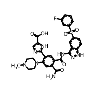 CN1CCN(c2cc(C(N)=O)c(C(=O)Nc3n[nH]c4ccc(S(=O)(=O)c5cccc(F)c5)cc34)cc2-c2ncc(C(=O)O)[nH]2)CC1